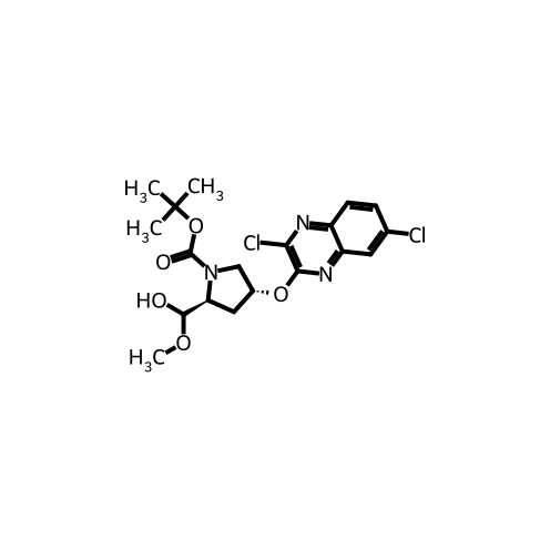 COC(O)[C@@H]1C[C@@H](Oc2nc3cc(Cl)ccc3nc2Cl)CN1C(=O)OC(C)(C)C